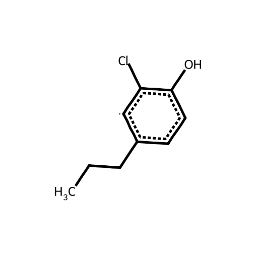 CCCc1[c]c(Cl)c(O)cc1